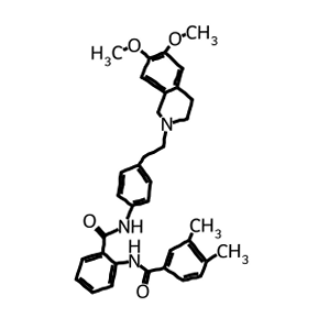 COc1cc2c(cc1OC)CN(CCc1ccc(NC(=O)c3ccccc3NC(=O)c3ccc(C)c(C)c3)cc1)CC2